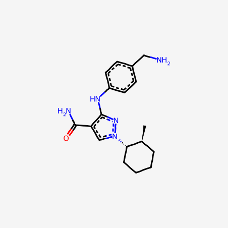 C[C@H]1CCCC[C@@H]1n1cc(C(N)=O)c(Nc2ccc(CN)cc2)n1